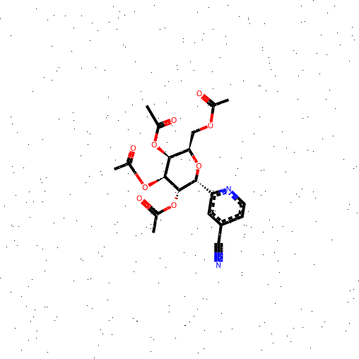 CC(=O)OC[C@H]1O[C@H](c2cc(C#N)ccn2)[C@H](OC(C)=O)[C@@H](OC(C)=O)[C@H]1OC(C)=O